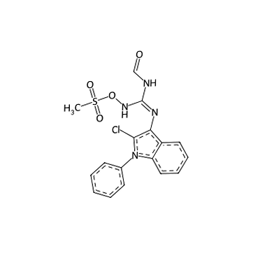 CS(=O)(=O)ONC(=Nc1c(Cl)n(-c2ccccc2)c2ccccc12)NC=O